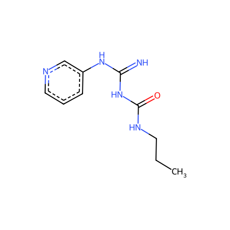 CCCNC(=O)NC(=N)Nc1cccnc1